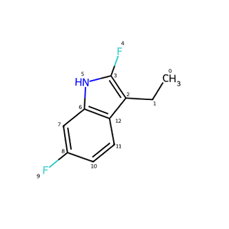 CCc1c(F)[nH]c2cc(F)ccc12